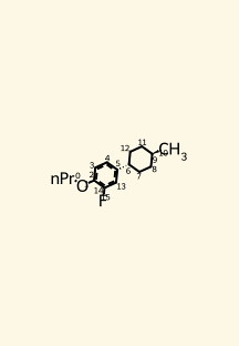 CCCOc1ccc([C@H]2CC[C@H](C)CC2)cc1F